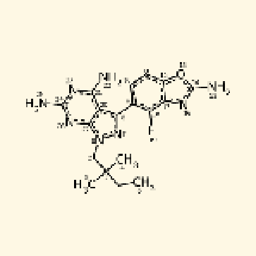 CCC(C)(C)Cn1nc(-c2ccc3oc(N)nc3c2F)c2c(N)nc(N)nc21